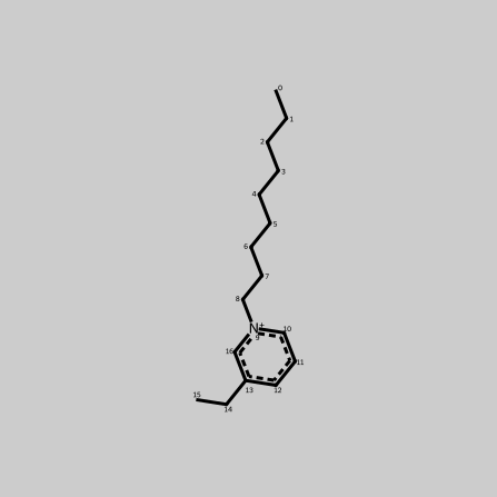 CCCCCCCCC[n+]1cccc(CC)c1